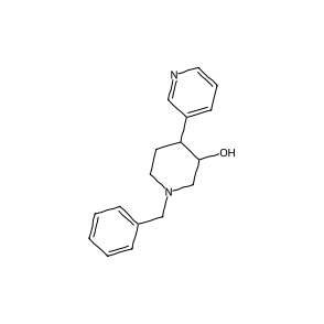 OC1CN(Cc2ccccc2)CCC1c1cccnc1